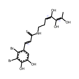 C/C(O)=C(O)\C(O)=C/CCNC(=S)/C=C/c1cc(O)c(O)c(Br)c1Br